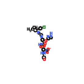 CC1(C)C=C(c2ccc(Cl)cc2)C(N2CC3(CCN(c4ccc(C(=O)NS(=O)(=O)c5ccc(NCC6CCOCC6)c([N+](=O)[O-])c5)c(Oc5cnc6[nH]ccc6c5)c4)C3)C2)CC1